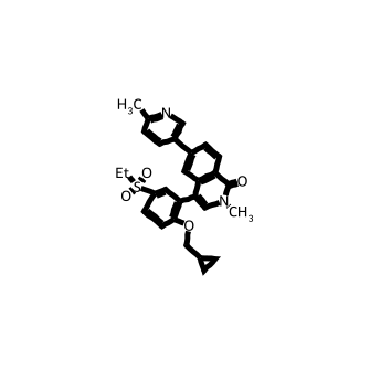 CCS(=O)(=O)c1ccc(OCC2CC2)c(-c2cn(C)c(=O)c3ccc(-c4ccc(C)nc4)cc23)c1